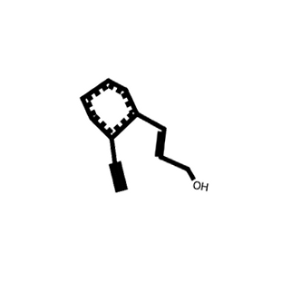 C#Cc1ccccc1/C=C/CO